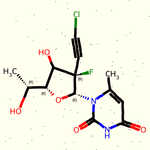 Cc1cc(=O)[nH]c(=O)n1[C@@H]1O[C@H]([C@@H](C)O)C(O)[C@]1(F)C#CCl